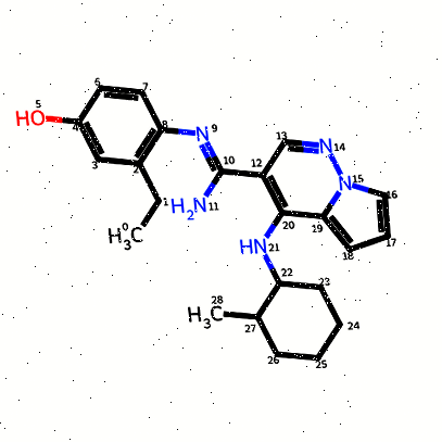 CCc1cc(O)ccc1/N=C(\N)c1cnn2cccc2c1NC1CCCCC1C